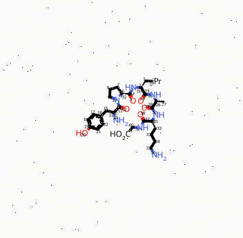 CC(C)C[C@H](NC(=O)[C@@H]1CCCN1C(=O)[C@@H](N)Cc1ccc(O)cc1)C(=O)N[C@@H](C)C(=O)N[C@@H](CCCCN)C(=O)NCC(=O)O